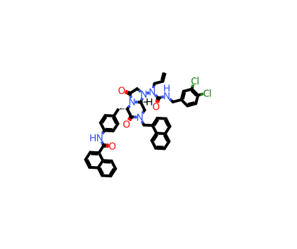 C=CCN(C(=O)NCc1ccc(Cl)c(Cl)c1)N1CC(=O)N2[C@@H](Cc3ccc(NC(=O)c4cccc5ccccc45)cc3)C(=O)N(Cc3cccc4ccccc34)C[C@@H]21